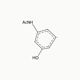 CC(=O)Nc1c[c]cc(O)c1